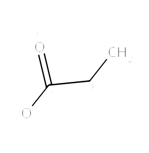 [CH2]CC([O])=O